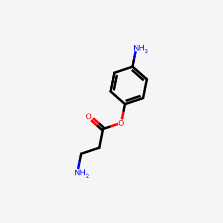 NCCC(=O)Oc1ccc(N)cc1